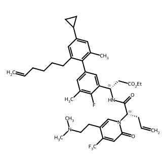 C=CCCCCc1cc(C2CC2)cc(C)c1-c1cc(C)c(F)c([C@H](CC(=O)OCC)NC(=O)[C@H](CC=C)n2cc(CCN(C)C)c(C(F)(F)F)cc2=O)c1